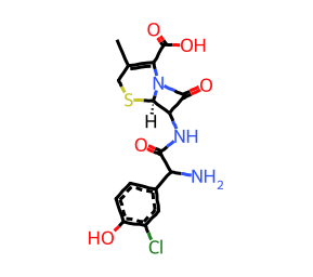 CC1=C(C(=O)O)N2C(=O)C(NC(=O)C(N)c3ccc(O)c(Cl)c3)[C@H]2SC1